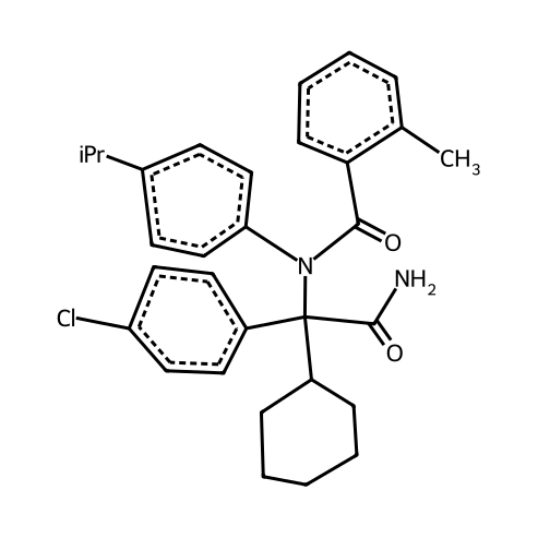 Cc1ccccc1C(=O)N(c1ccc(C(C)C)cc1)C(C(N)=O)(c1ccc(Cl)cc1)C1CCCCC1